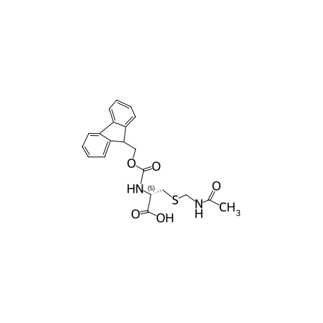 CC(=O)NCSC[C@@H](NC(=O)OCC1c2ccccc2-c2ccccc21)C(=O)O